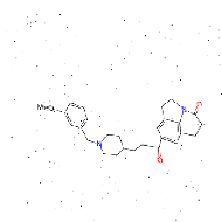 COc1cccc(CN2CCC(CCC(=O)c3cc4c5c(c3)CCN5C(=O)CC4)CC2)c1